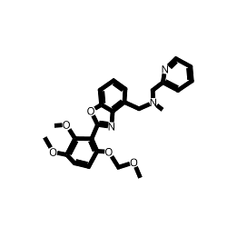 COCOc1ccc(OC)c(OC)c1-c1nc2c(CN(C)Cc3ccccn3)cccc2o1